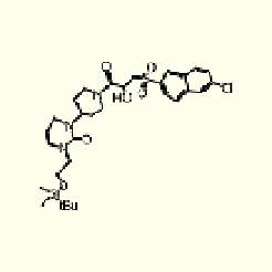 CC(C)(C)[Si](C)(C)OCCN1CCCN(C2CCN(C(=O)[C@H](O)CS(=O)(=O)c3ccc4cc(Cl)ccc4c3)CC2)C1=O